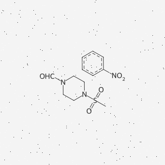 CS(=O)(=O)N1CCN(C=O)CC1.O=[N+]([O-])c1ccccc1